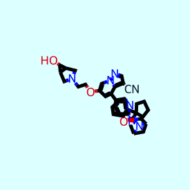 N#Cc1cnn2cc(OCCN3CC4C(O)C4C3)cc(-c3ccc(N4CC5CC(C4)N5C(=O)C4(c5ccccc5)CCCC4)nc3)c12